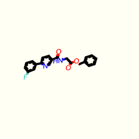 O=C(CNC(=O)c1ccc(-c2cccc(F)c2)nc1)OCc1ccccc1